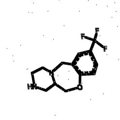 FC(F)(F)c1ccc2c(c1)CN1CCNCC1CO2